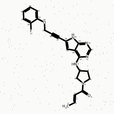 C/C=C/C(=O)N1CCC(Nc2ncnc3[nH]c(C#CCOc4ccccc4F)cc23)C1